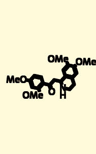 COc1ccc(C(=O)CC2NCCc3cc(OC)c(OC)cc32)c(OC)c1